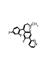 CN1CC=C(c2ccc(F)cc2F)c2cc(F)c(-c3cccnn3)cc2C1